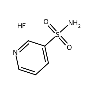 F.NS(=O)(=O)c1cccnc1